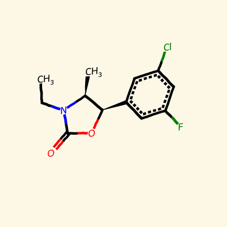 CCN1C(=O)O[C@H](c2cc(F)cc(Cl)c2)[C@@H]1C